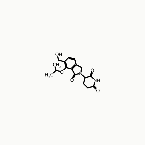 CC(C)Oc1c(CO)ccc2c1C(=O)N(C1CCC(=O)NC1=O)C2